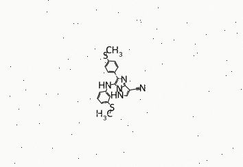 CSc1ccc(-c2nc3c(C#N)c[nH]n3c2Nc2cccc(SC)c2)cc1